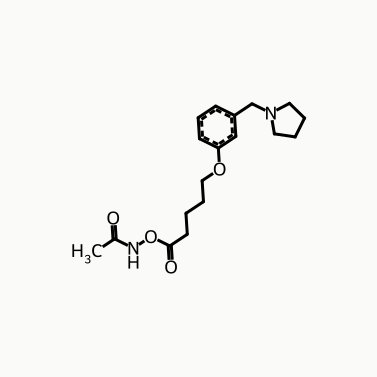 CC(=O)NOC(=O)CCCCOc1cccc(CN2CCCC2)c1